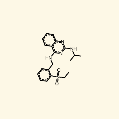 CCS(=O)(=O)c1ccccc1CNc1nc(NC(C)C)nc2ccccc12